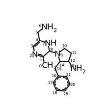 CC1=N[C]=C(CN)NC1N1CCC(N)C1Cc1ccccc1